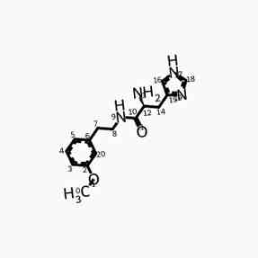 COc1cccc(CCNC(=O)[C@@H](N)Cc2c[nH]cn2)c1